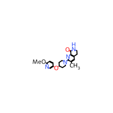 COc1ccc(OC2CCN(c3nc4c(cc3C)CCNC4=O)CC2)cn1